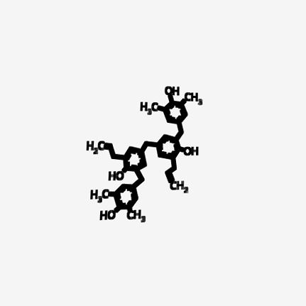 C=CCc1cc(Cc2cc(CC=C)c(O)c(Cc3cc(C)c(O)c(C)c3)c2)cc(Cc2cc(C)c(O)c(C)c2)c1O